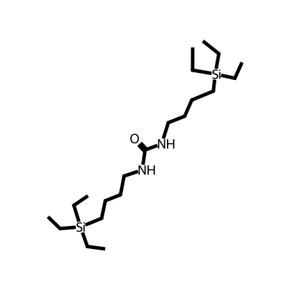 CC[Si](CC)(CC)CCCCNC(=O)NCCCC[Si](CC)(CC)CC